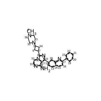 CN1CCN(C2CC(c3nc(-c4ccc5ccc(-c6ccccc6)nc5c4)c4c(N)nccn34)C2)CC1